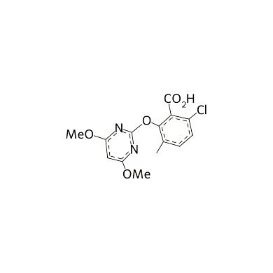 COc1cc(OC)nc(Oc2c(C)ccc(Cl)c2C(=O)O)n1